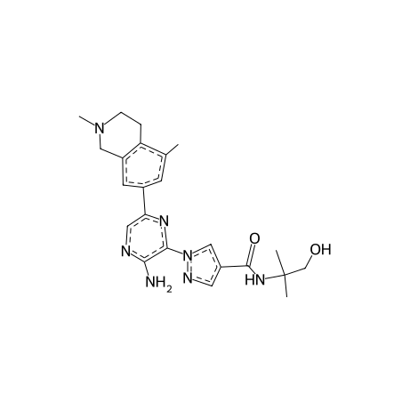 Cc1cc(-c2cnc(N)c(-n3cc(C(=O)NC(C)(C)CO)cn3)n2)cc2c1CCN(C)C2